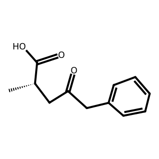 C[C@@H](CC(=O)Cc1ccccc1)C(=O)O